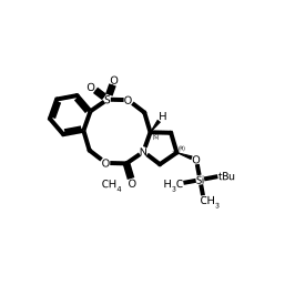 C.CC(C)(C)[Si](C)(C)O[C@@H]1C[C@H]2COS(=O)(=O)c3ccccc3COC(=O)N2C1